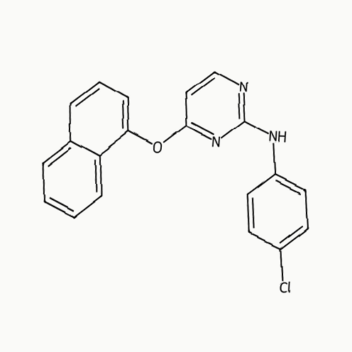 Clc1ccc(Nc2nccc(Oc3cccc4ccccc34)n2)cc1